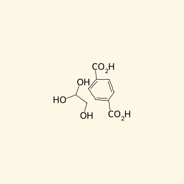 O=C(O)c1ccc(C(=O)O)cc1.OCC(O)O